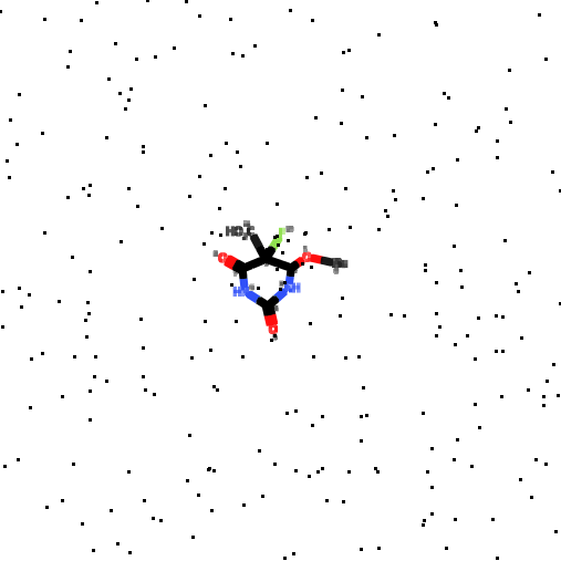 CCC(C)OC1NC(=O)NC(=O)C1(F)C(=O)O